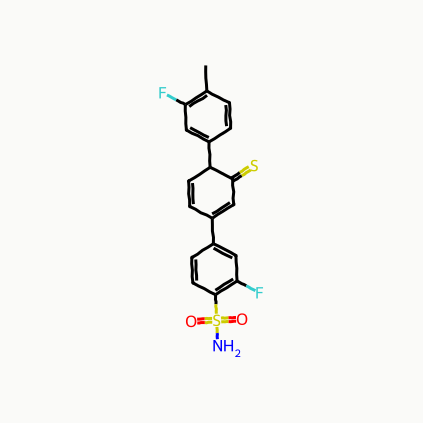 Cc1ccc(C2C=CC(c3ccc(S(N)(=O)=O)c(F)c3)=CC2=S)cc1F